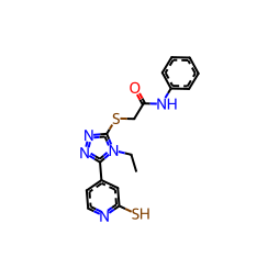 CCn1c(SCC(=O)Nc2ccccc2)nnc1-c1ccnc(S)c1